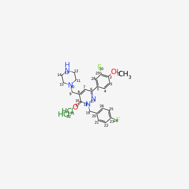 COc1ccc(-c2cc(CN3CCNCC3)c(=O)n(Cc3ccc(F)cc3)n2)cc1F.Cl.Cl